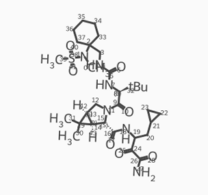 CN(C1(CNC(=O)N[C@H](C(=O)N2C[C@H]3[C@@H]([C@H]2C(=O)NC(CC2CC2)C(=O)C(N)=O)C3(C)C)C(C)(C)C)CCCCC1)S(C)(=O)=O